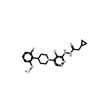 COc1cccc(F)c1C1CCN(c2cnnc(NNC(=O)CC3CC3)c2Cl)CC1